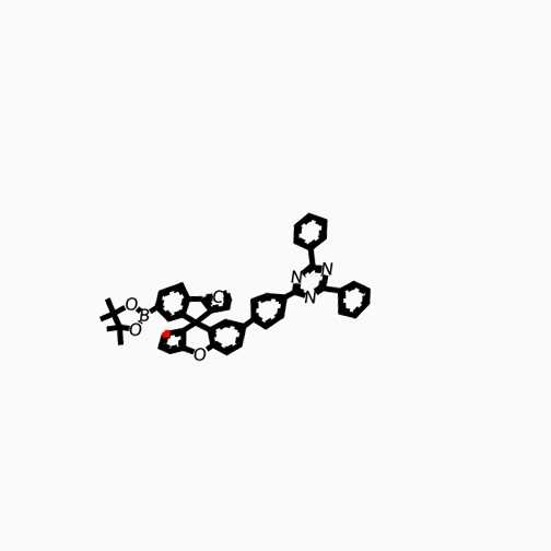 CC1(C)OB(c2ccc3c(c2)C2(c4ccccc4Oc4ccc(-c5ccc(-c6nc(-c7ccccc7)nc(-c7ccccc7)n6)cc5)cc42)c2ccccc2-3)OC1(C)C